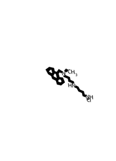 CCN(CCCCNCCCCNCl)Cc1c2ccccc2cc2ccccc12